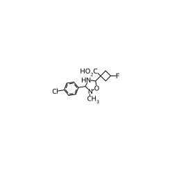 CN1OC(C2(C(=O)O)CC(F)C2)NC1c1ccc(Cl)cc1